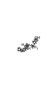 CN(CCCN(C)Cc1ccc(CC(=O)O)cc1)CC(=O)Nc1ccc(Oc2ccccc2)cc1